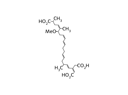 CO[C@H](C/C=C\C=C\CC/C=C/C[C@H](C)/C=C/C(=C\C(=O)O)CC(=O)O)/C(C)=C\CC(C)C(=O)O